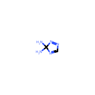 NC1(N)N=CN=N1